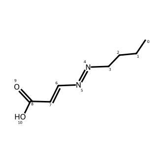 CCCCN=NC=CC(=O)O